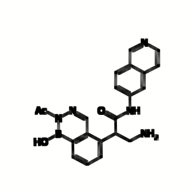 CC(=O)N1N=Cc2c(cccc2C(CN)C(=O)Nc2ccc3cnccc3c2)B1O